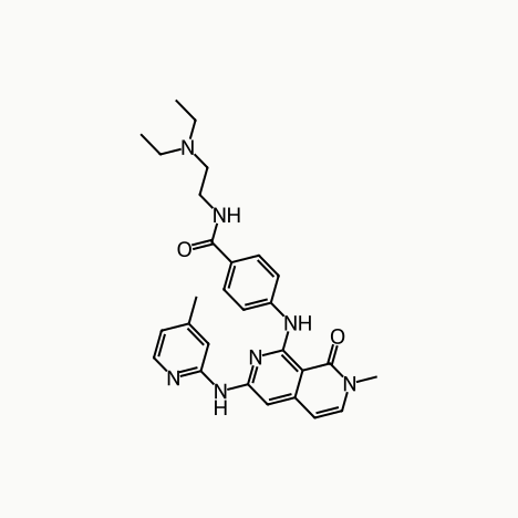 CCN(CC)CCNC(=O)c1ccc(Nc2nc(Nc3cc(C)ccn3)cc3ccn(C)c(=O)c23)cc1